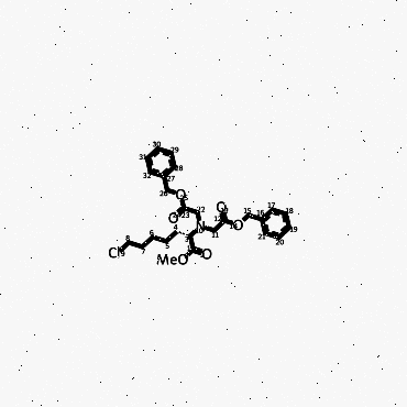 COC(=O)[C@H](CCCCCCl)N(CC(=O)OCc1ccccc1)CC(=O)OCc1ccccc1